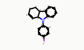 Ic1ccc(N2c3ccccc3C3CCC=CC32)cc1